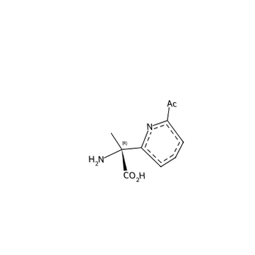 CC(=O)c1cccc([C@@](C)(N)C(=O)O)n1